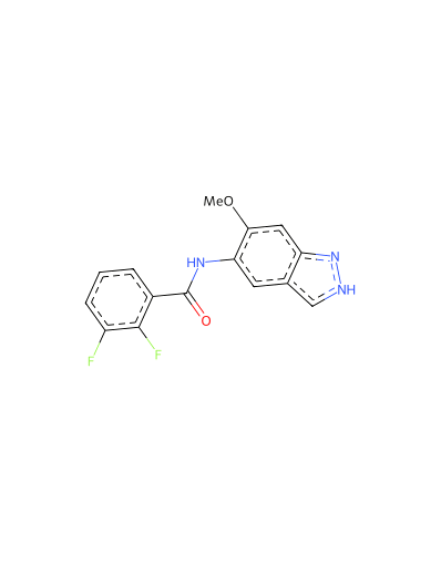 COc1cc2n[nH]cc2cc1NC(=O)c1cccc(F)c1F